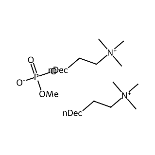 CCCCCCCCCCCC[N+](C)(C)C.CCCCCCCCCCCC[N+](C)(C)C.COP(=O)([O-])[O-]